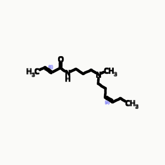 C/C=C/C(=O)NCCCN(C)CC/C=C\CC